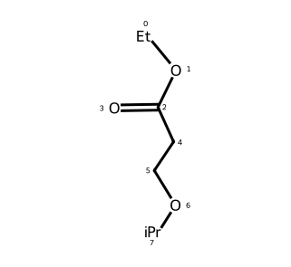 CCOC(=O)CCOC(C)C